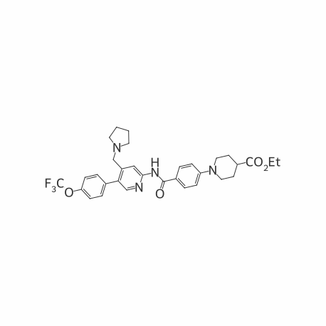 CCOC(=O)C1CCN(c2ccc(C(=O)Nc3cc(CN4CCCC4)c(-c4ccc(OC(F)(F)F)cc4)cn3)cc2)CC1